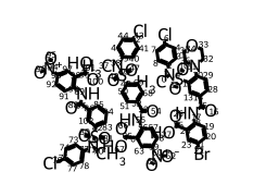 CN(c1ccc(Cl)cc1)S(=O)(=O)c1cc(C(=O)Nc2ccc(Br)cc2C(=O)O)ccc1N1CCOCC1.CN(c1ccc(Cl)cc1)S(=O)(=O)c1ccc(C(=O)Nc2ccc([N+](=O)[O-])cc2C(=O)O)cc1.CN(c1ccc(Cl)cc1)S(=O)(=O)c1cccc(C(=O)Nc2ccc([N+](=O)[O-])cc2C(=O)O)c1